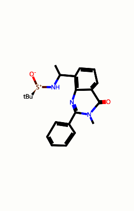 CC(N[S@+]([O-])C(C)(C)C)c1cccc2c(=O)n(C)c(-c3ccccc3)nc12